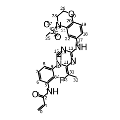 C=CC(=O)Nc1cccc(NC(/N=C(\N=C)Nc2ccc3c(c2)N(S(C)(=O)=O)CCO3)=C(/C)F)c1